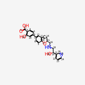 O=C(O)c1ccc(-c2ccc3c(c2)CC[C@@H](CNC[C@H](O)c2cccnc2)O3)cc1O